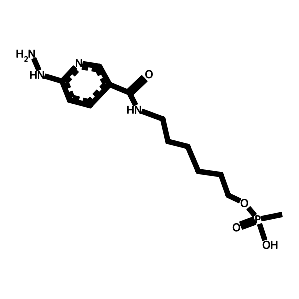 CP(=O)(O)OCCCCCCNC(=O)c1ccc(NN)nc1